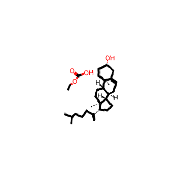 CC(C)CCCC(C)[C@H]1CC[C@H]2[C@@H]3CC=C4C[C@@H](O)CC[C@]4(C)[C@H]3CC[C@]12C.CCOC(=O)O